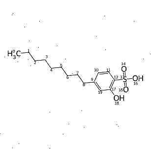 CCCCCCCCCc1ccc(S(=O)(=O)O)c(O)c1